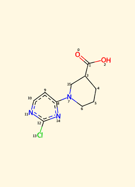 O=C(O)C1CCCN(c2ccnc(Cl)n2)C1